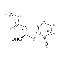 NCC(=O)N[C@H](C=O)C[C@@H]1CCCNC1=O